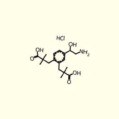 CC(C)(Cc1ccc(C(O)CN)cc1CC(C)(C)C(=O)O)C(=O)O.Cl